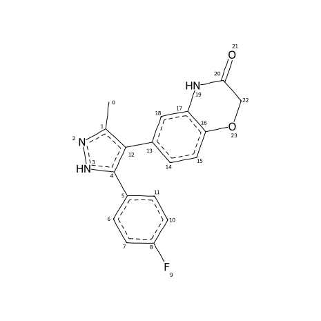 Cc1n[nH]c(-c2ccc(F)cc2)c1-c1ccc2c(c1)NC(=O)CO2